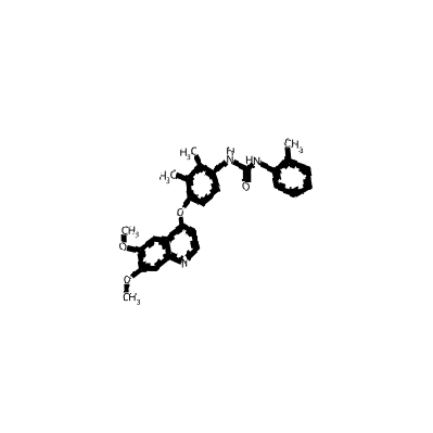 COc1cc2nccc(Oc3ccc(NC(=O)Nc4ccccc4C)c(C)c3C)c2cc1OC